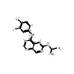 CC(C)Nc1ncc2ncnc(Nc3ccc(Cl)c(Cl)c3)c2n1